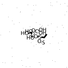 CCS(=O)(=O)O.O=C(O)O.O=S(O)O.[S]